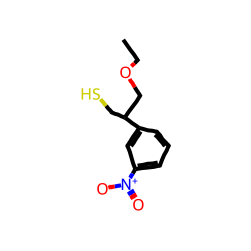 CCOCC(CS)c1cccc([N+](=O)[O-])c1